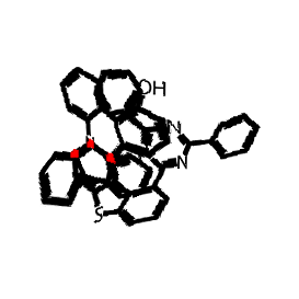 Oc1cccc(-c2cccc3sc4cccc(-c5nc(-c6ccccc6)nc(-c6ccccc6)n5)c4c23)c1-c1ccccc1-n1c2ccccc2c2ccccc21